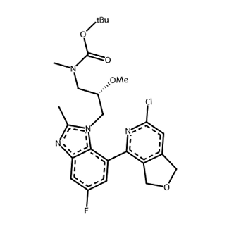 CO[C@@H](CN(C)C(=O)OC(C)(C)C)Cn1c(C)nc2cc(F)cc(-c3nc(Cl)cc4c3COC4)c21